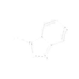 CN1SN=C2C=NC=CC21